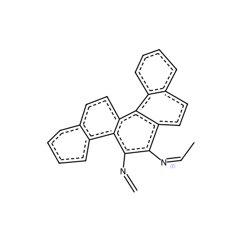 C=Nc1c(/N=C\C)c2ccc3ccccc3c2c2ccc3ccccc3c12